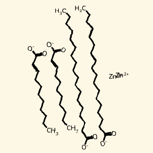 CCCCCCCCC=CC(=O)[O-].CCCCCCCCC=CC(=O)[O-].CCCCCCCCCCCCCCCCCC(=O)[O-].CCCCCCCCCCCCCCCCCC(=O)[O-].[Zn+2].[Zn+2]